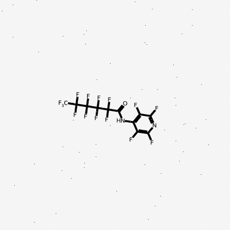 O=C(Nc1c(F)c(F)nc(F)c1F)C(F)(F)C(F)(F)C(F)(F)C(F)(F)C(F)(F)F